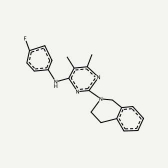 Cc1nc(N2CCc3ccccc3C2)nc(Nc2ccc(F)cc2)c1C